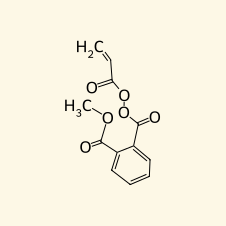 C=CC(=O)OOC(=O)c1ccccc1C(=O)OC